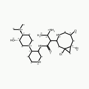 CCC12CC(C(C(=O)NC3CNCCC3N3CC[C@H](N(C)C)[C@@H](O)C3)C(N)N)NCC(Cl)C[C@@]1(CC)C2